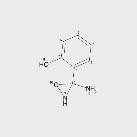 NC1(c2ccccc2O)NO1